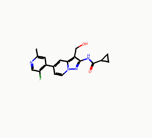 Cc1cc(-c2ccn3nc(NC(=O)C4CC4)c(CO)c3c2)c(F)cn1